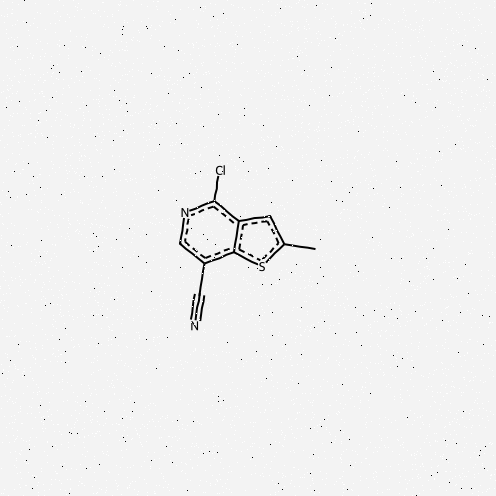 Cc1cc2c(Cl)ncc(C#N)c2s1